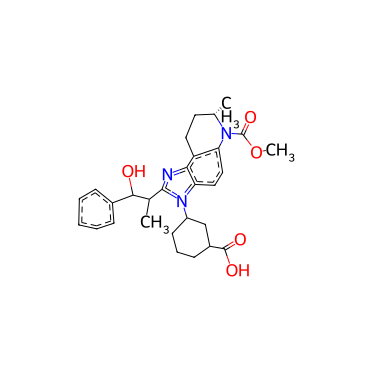 COC(=O)N1c2ccc3c(nc(C(C)C(O)c4ccccc4)n3C3CCCC(C(=O)O)C3)c2CC[C@@H]1C